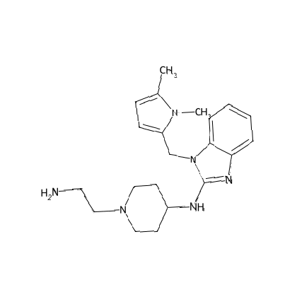 Cc1ccc(Cn2c(NC3CCN(CCN)CC3)nc3ccccc32)n1C